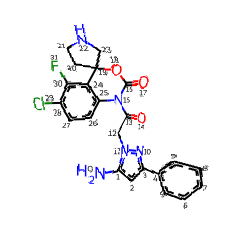 Nc1cc(-c2ccccc2)nn1CC(=O)N1C(=O)OC2(CCNC2)c2c1ccc(Cl)c2F